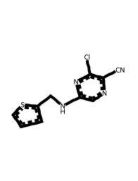 N#Cc1ncc(NCc2cccs2)nc1Cl